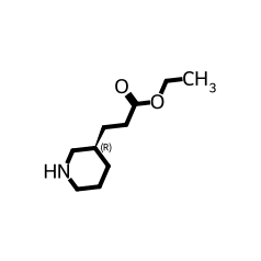 CCOC(=O)CC[C@H]1CCCNC1